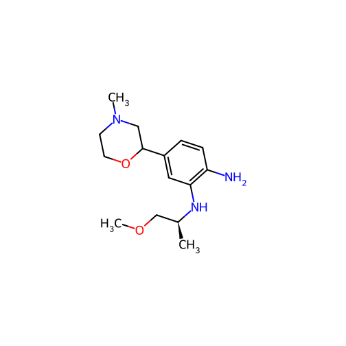 COC[C@H](C)Nc1cc(C2CN(C)CCO2)ccc1N